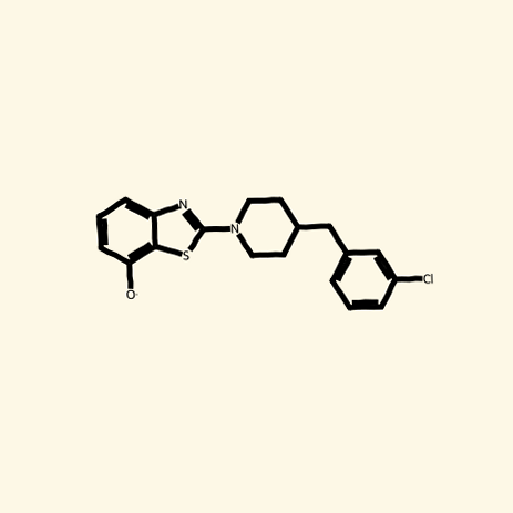 [O]c1cccc2nc(N3CCC(Cc4cccc(Cl)c4)CC3)sc12